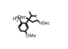 CCCCCCCCCCCCC(CCCCCCCCCC)(C1=CC(OC)CC=C1N)C(C)I